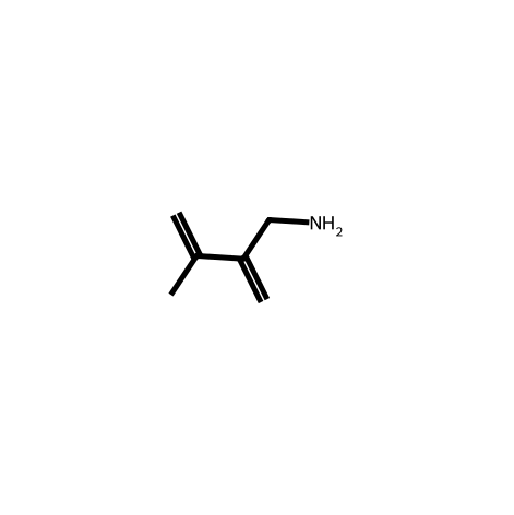 C=C(C)C(=C)CN